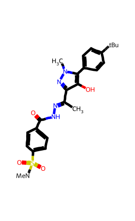 CNS(=O)(=O)c1ccc(C(=O)N/N=C(\C)c2nn(C)c(-c3ccc(C(C)(C)C)cc3)c2O)cc1